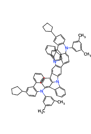 Cc1cc(C)cc(N(c2ccc(C3CCCC3)cc2-c2ccccc2)c2ccc3c4cc5c(cc4n4c6ccccc6c2c34)c2ccc(N(c3cc(C)cc(C)c3)c3ccc(C4CCCC4)cc3-c3ccccc3)c3c4ccccc4n5c23)c1